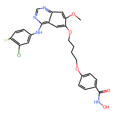 COc1cc2ncnc(Nc3ccc(F)c(Cl)c3)c2cc1OCCCCOc1ccc(C(=O)NO)cc1